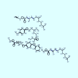 C#CCOC(=O)/C=C(C)/C=C/CC(C)CCCC(C)C.CCOC(=O)/C=C(C)/C=C/CC(C)CCCC(C)C.CCOC(=O)NCCOc1ccc(Oc2ccccc2)cc1.CCc1ccc(OCCC(CC)CCC2OC2(C)CC)cc1